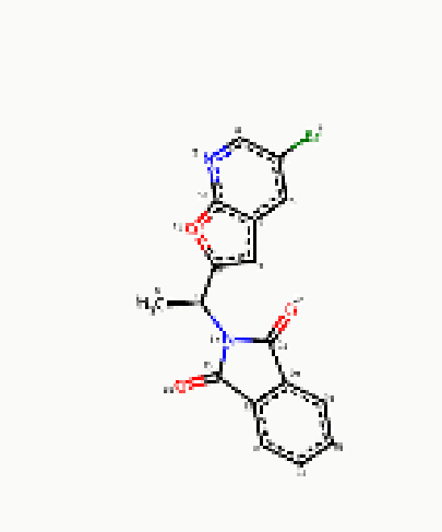 C[C@@H](c1cc2cc(Br)cnc2o1)N1C(=O)c2ccccc2C1=O